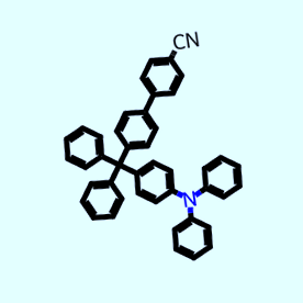 N#Cc1ccc(-c2ccc(C(c3ccccc3)(c3ccccc3)c3ccc(N(c4ccccc4)c4ccccc4)cc3)cc2)cc1